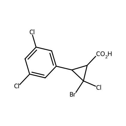 O=C(O)C1C(c2cc(Cl)cc(Cl)c2)C1(Cl)Br